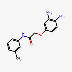 Cc1cccc(NC(=O)COc2ccc(N)c(N)c2)c1